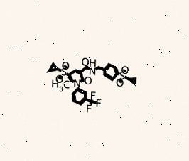 Cc1c(S(=O)(=O)C2CC2)cc(C(=O)NCc2ccc(S(=O)(=O)C3CC3)cc2)c(=O)n1-c1cccc(C(F)(F)F)c1